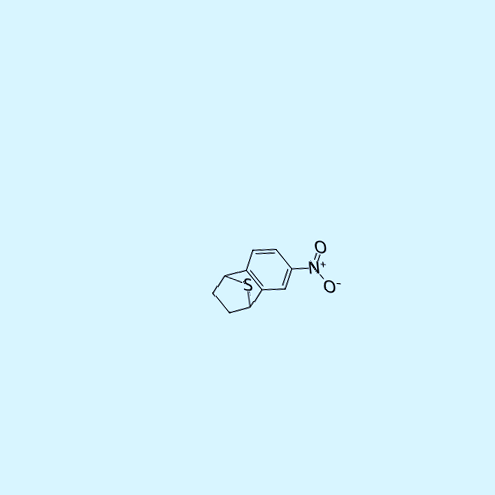 O=[N+]([O-])c1ccc2c(c1)C1CCC2S1